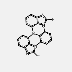 Fc1nc2cccc3c2n1-c1cccc2c1B3c1cccc3nc(F)n-2c13